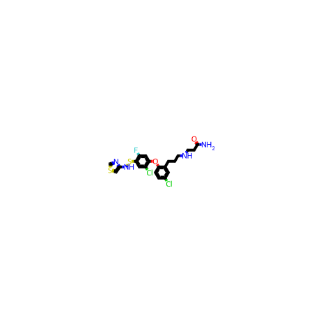 NC(=O)CCNCCCc1cc(Cl)ccc1Oc1cc(F)c(SNc2cscn2)cc1Cl